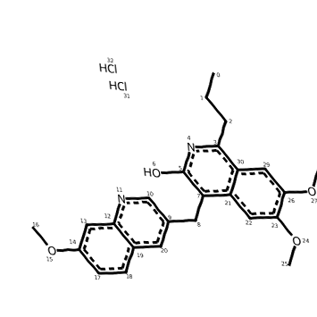 CCCc1nc(O)c(Cc2cnc3cc(OC)ccc3c2)c2cc(OC)c(OC)cc12.Cl.Cl